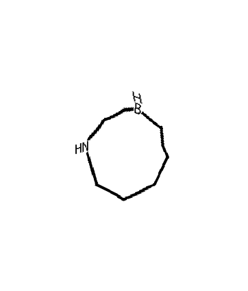 B1CCCCCNC1